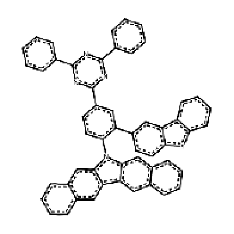 c1ccc(-c2nc(-c3ccccc3)nc(-c3ccc(-n4c5cc6ccccc6cc5c5cc6ccccc6cc54)c(-c4ccc5sc6ccccc6c5c4)c3)n2)cc1